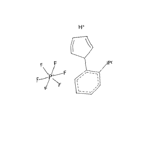 CC(C)c1ccccc1C1C=CC=C1.F[P-](F)(F)(F)(F)F.[H+]